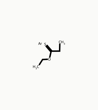 CCOC(=S)CC.[Ar]